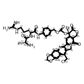 CC[C@@]1(OC(=O)OCc2ccc(NC(=O)[C@H](CCCNC(=N)N)NC(=O)[C@@H](N)C(C)C)cc2)C(=O)OCc2c1cc1n(c2=O)Cc2c-1nc1cc3c(cc1c2CCl)OCO3